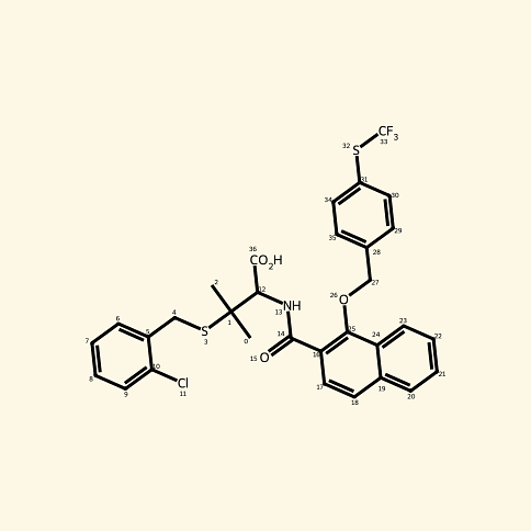 CC(C)(SCc1ccccc1Cl)C(NC(=O)c1ccc2ccccc2c1OCc1ccc(SC(F)(F)F)cc1)C(=O)O